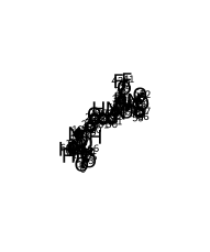 COC(=O)N[C@H](C(=O)N1[C@@H]2C[C@@H]2C[C@H]1c1ncc(-c2ccc3c(c2)COc2cc4c(ccc5nc([C@@H]6CC(COC(F)F)CN6C(=O)[C@H](NC(=O)OC)c6ccccc6)[nH]c54)cc2-3)[nH]1)C(C)C